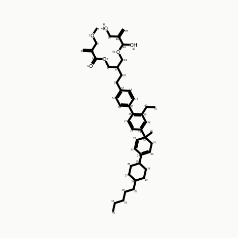 C=C(COC)C(=O)OCC(CCc1ccc(-c2ccc(C3(C)C=CC(C4CCC(CCCCC)CC4)=CC3)cc2CC)cc1)COC(O)C(=C)CO